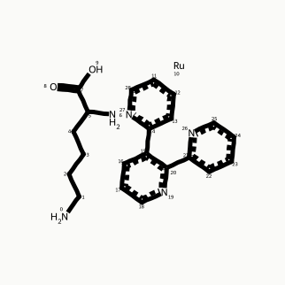 NCCCCC(N)C(=O)O.[Ru].c1ccc(-c2cccnc2-c2ccccn2)nc1